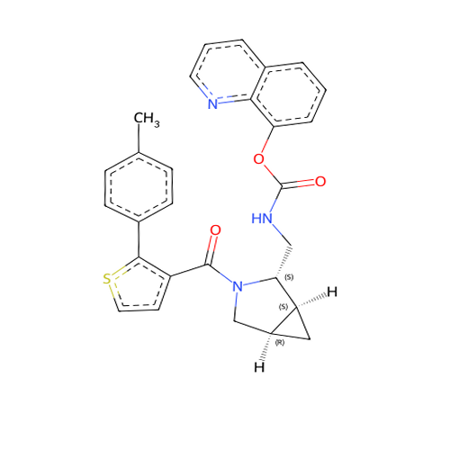 Cc1ccc(-c2sccc2C(=O)N2C[C@@H]3C[C@@H]3[C@H]2CNC(=O)Oc2cccc3cccnc23)cc1